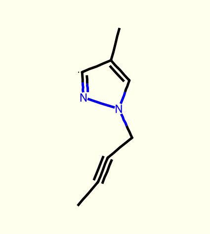 CC#CCn1cc(C)[c]n1